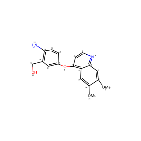 COc1cc2nccc(Oc3ccc(N)c(CO)c3)c2cc1OC